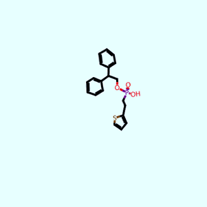 O=P(O)(CCc1cccs1)OCC(c1ccccc1)c1ccccc1